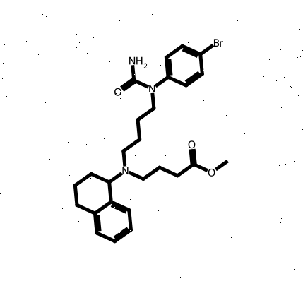 COC(=O)CCCN(CCCCN(C(N)=O)c1ccc(Br)cc1)C1CCCc2ccccc21